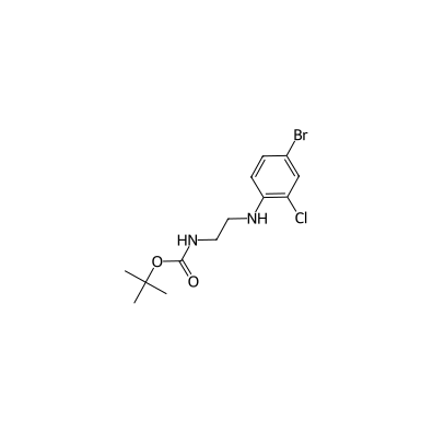 CC(C)(C)OC(=O)NCCNc1ccc(Br)cc1Cl